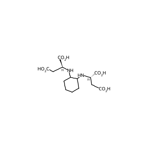 O=C(O)C[C@H](NC1CCCCC1N[C@@H](CC(=O)O)C(=O)O)C(=O)O